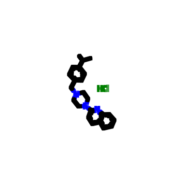 CC(C)c1ccc(CN2CCN(c3ccc4ccccc4n3)CC2)cc1.Cl